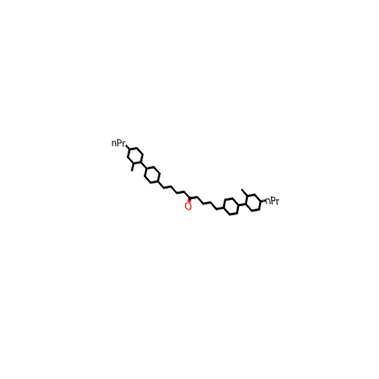 CCCC1CCC(C2CCC(CCCCC(=O)CCCCC3CCC(C4CCC(CCC)CC4C)CC3)CC2)C(C)C1